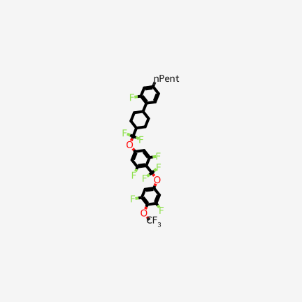 CCCCCc1ccc(C2CCC(C(F)(F)Oc3cc(F)c(C(F)(F)Oc4cc(F)c(OC(F)(F)F)c(F)c4)c(F)c3)CC2)c(F)c1